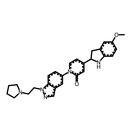 COc1ccc2c(c1)CC(c1ccn(-c3ccc4c(cnn4CCN4CCCC4)c3)c(=O)c1)N2